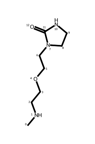 CNCCOCCN1CCNC1=O